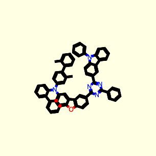 Cc1ccccc1-c1ccc(N(c2ccc3oc4ccc(-c5nc(-c6ccccc6)nc(-c6ccc7c(c6)c6ccccc6n7-c6ccccc6)n5)cc4c3c2)c2ccccc2-c2ccccc2)cc1C